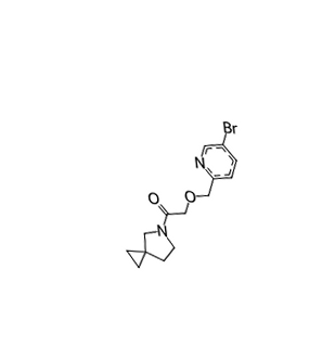 O=C(COCc1ccc(Br)cn1)N1CCC2(CC2)C1